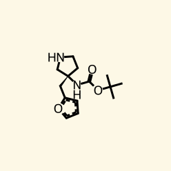 CC(C)(C)OC(=O)N[C@@]1(Cc2ccco2)CCNC1